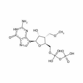 COC[C@H]1[C@@H](O)[C@H](n2cnc3c(=O)[nH]c(N)nc32)O[C@@H]1COP(=O)(O)OP(=O)(O)O